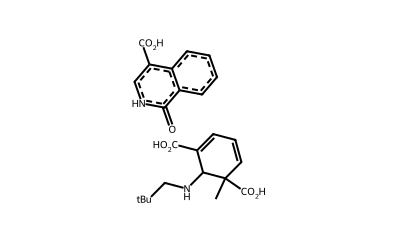 CC(C)(C)CNC1C(C(=O)O)=CC=CC1(C)C(=O)O.O=C(O)c1c[nH]c(=O)c2ccccc12